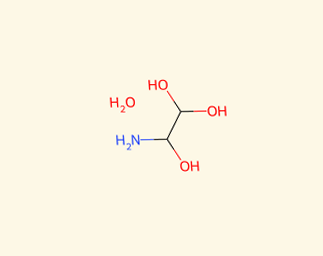 NC(O)C(O)O.O